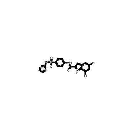 O=C(Nc1ccc(S(=O)(=O)Nc2nccs2)cc1)c1cc2cc(Cl)cc(Cl)c2[nH]1